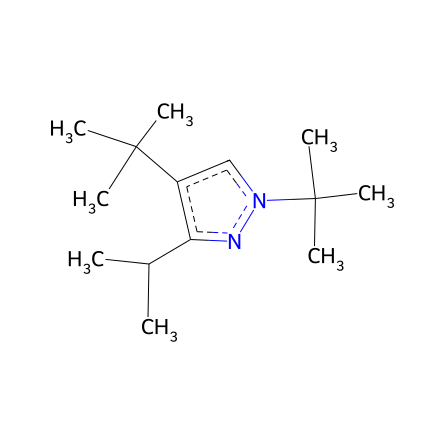 CC(C)c1nn(C(C)(C)C)cc1C(C)(C)C